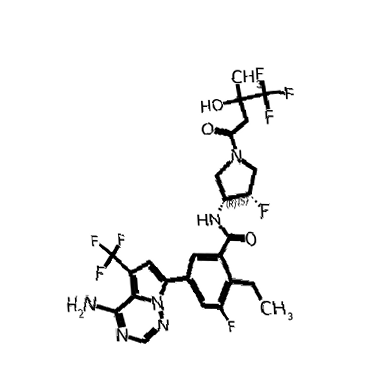 CCc1c(F)cc(-c2cc(C(F)(F)F)c3c(N)ncnn23)cc1C(=O)N[C@@H]1CN(C(=O)CC(C)(O)C(F)(F)F)C[C@@H]1F